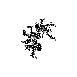 N=C(N)NCCC[C@H](NC(=O)[C@H](CS)NC(=O)[C@H](CCCNC(N)=O)NC(=O)[C@H](CCCNC(=N)N)NC(=O)[C@H](Cc1ccc(O)cc1)NC(=O)[C@@H]1CCCN1C(=O)[C@@H](CCCCN)NC(=O)[C@H](CCCNC(=N)N)NC(=O)[C@H](CCCNC(N)=O)NC(=O)[C@H](Cc1ccc(O)cc1)NC(=O)[C@H](CS)NC(=O)[C@H](Cc1ccc2ccccc2c1)NC(=O)[C@H](CCCNC(=N)N)NC(=O)[C@@H](N)CCCNC(=N)N)C(N)=O